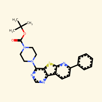 CC(C)(C)OC(=O)N1CCN(c2ncnc3c2sc2nc(-c4ccccc4)ccc23)CC1